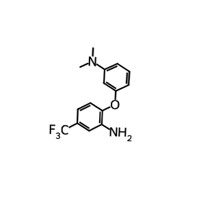 CN(C)c1cccc(Oc2ccc(C(F)(F)F)cc2N)c1